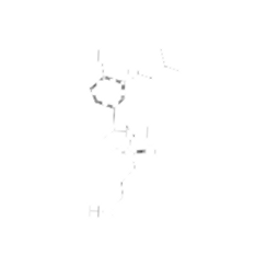 CC(C)COc1cc(C(C)NS(=O)(=O)CCCO)ccc1F